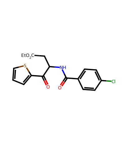 CCOC(=O)CC(NC(=O)c1ccc(Cl)cc1)C(=O)c1cccs1